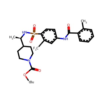 Cc1ccccc1C(=O)Nc1ccc(S(=O)(=O)N[C@H](C)C2CCN(C(=O)OC(C)(C)C)CC2)c(C(F)(F)F)c1